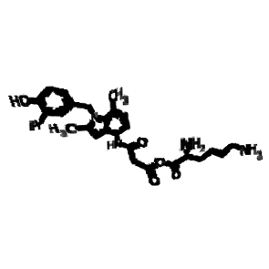 Cc1ccc(NC(=O)CC(=O)OC(=O)[C@@H](N)CCCCN)c2cc(C)n(Cc3ccc(O)c(C(C)C)c3)c12